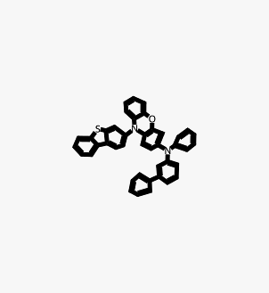 c1ccc(-c2cccc(N(c3ccccc3)c3ccc4c(c3)Oc3ccccc3N4c3ccc4c(c3)sc3ccccc34)c2)cc1